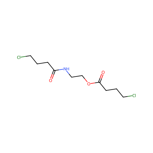 O=C(CCCCl)NCCOC(=O)CCCCl